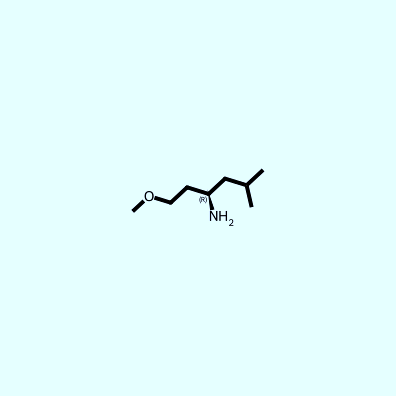 COCC[C@H](N)CC(C)C